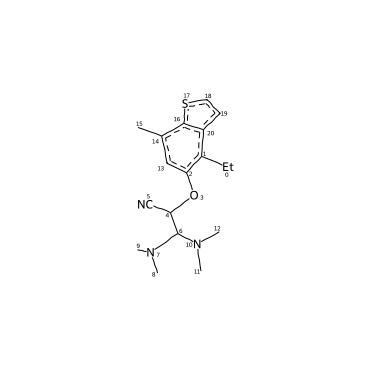 CCc1c(OC(C#N)C(N(C)C)N(C)C)cc(C)c2sccc12